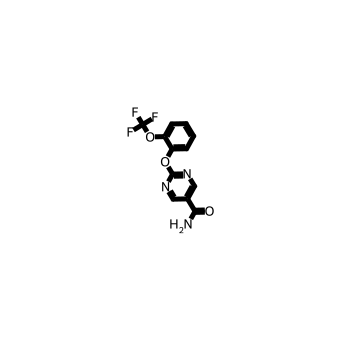 NC(=O)c1cnc(Oc2ccccc2OC(F)(F)F)nc1